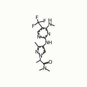 CNc1nc(Nc2cn(C(C)C(=O)N(C)C)nc2C)ncc1C(F)(F)F